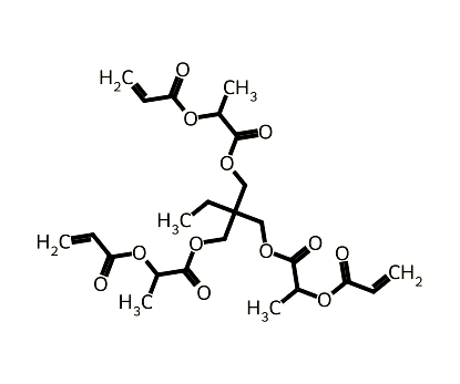 C=CC(=O)OC(C)C(=O)OCC(CC)(COC(=O)C(C)OC(=O)C=C)COC(=O)C(C)OC(=O)C=C